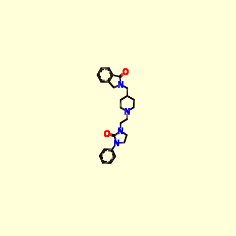 O=C1c2ccccc2CN1CC1CCN(CCN2CCN(c3ccccc3)C2=O)CC1